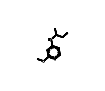 CCC(C)Nc1ccnc(OC)c1